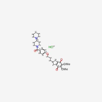 COC1=C(OC)C(=O)C2=C(CC(CCCOc3ccc(C(=O)N4CCC(N5CCCCC5)CC4)cc3)C2)C1=O.Cl